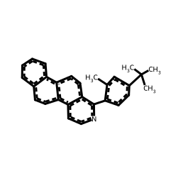 Cc1cc(C(C)(C)C)ccc1-c1nccc2c1ccc1c3ccccc3ccc21